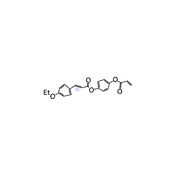 C=CC(=O)Oc1ccc(OC(=O)/C=C/c2ccc(OCC)cc2)cc1